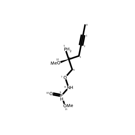 CC#CC[C@@](P)(CON[PH](=O)OC)OC